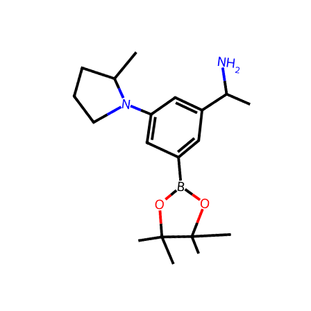 CC(N)c1cc(B2OC(C)(C)C(C)(C)O2)cc(N2CCCC2C)c1